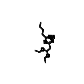 CCCCc1nc(CC(OCC)OCC)n[nH]1